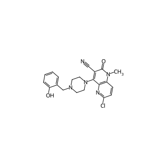 Cn1c(=O)c(C#N)c(N2CCN(Cc3ccccc3O)CC2)c2nc(Cl)ccc21